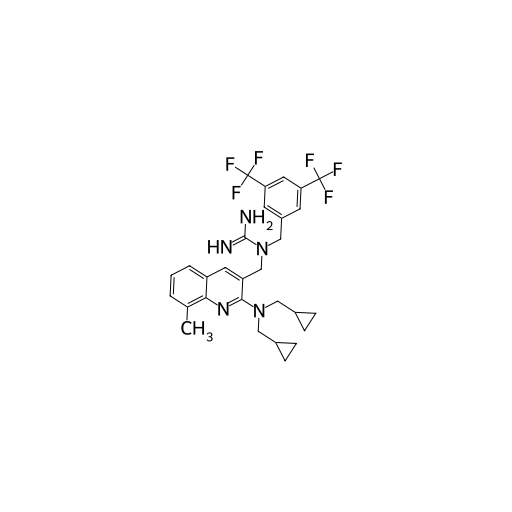 Cc1cccc2cc(CN(Cc3cc(C(F)(F)F)cc(C(F)(F)F)c3)C(=N)N)c(N(CC3CC3)CC3CC3)nc12